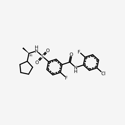 C[C@@H](NS(=O)(=O)c1ccc(F)c(C(=O)Nc2cc(Cl)ccc2F)c1)C1CCCC1